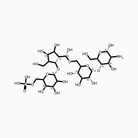 NC1[C@@H](O)[C@H](O[C@H]2OC(CO[C@@H](O)[C@@H]3C(O[C@H]4OC(COP(=O)(O)O)[C@H](O)[C@H](O)C4O)C(CO)[C@@H](O)C3O)[C@@H](O)C(O)[C@H]2O)C(CO)O[C@@H]1O